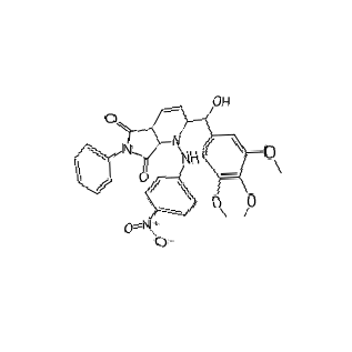 COc1cc(C(O)C2C=CC3C(=O)N(c4ccccc4)C(=O)C3N2Nc2ccc([N+](=O)[O-])cc2)cc(OC)c1OC